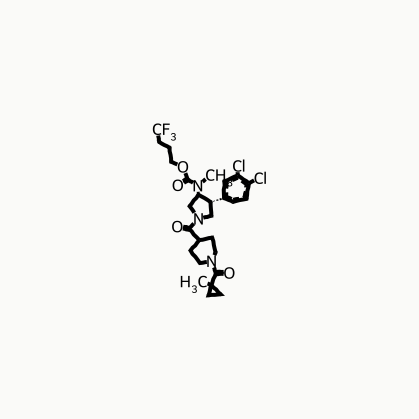 CN(C(=O)OCCCC(F)(F)F)[C@@H]1CN(C(=O)C2CCN(C(=O)C3(C)CC3)CC2)C[C@H]1c1ccc(Cl)c(Cl)c1